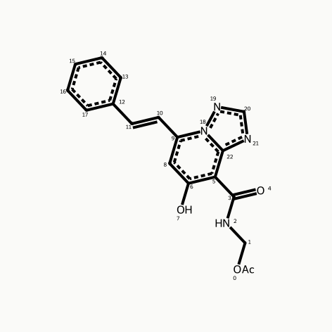 CC(=O)OCNC(=O)c1c(O)cc(C=Cc2ccccc2)n2ncnc12